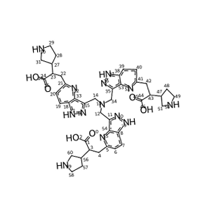 O=C(O)C(Cc1ccc2[nH]nc(CN(Cc3n[nH]c4ccc(CC(C(=O)O)C5CCNC5)nc34)Cc3n[nH]c4ccc(CC(C(=O)O)C5CCNC5)nc34)c2n1)C1CCNC1